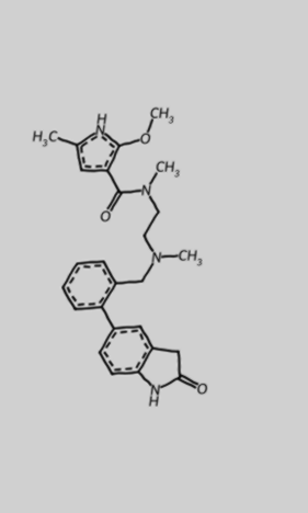 COc1[nH]c(C)cc1C(=O)N(C)CCN(C)Cc1ccccc1-c1ccc2c(c1)CC(=O)N2